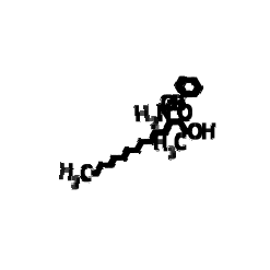 CCCCCCCCCCCCCC(OB(ON)c1ccccc1)C(C)O